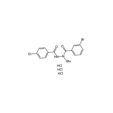 CCc1ccc(C(=O)NN(C(=O)c2cccc(Br)c2)C(C)(C)C)cc1.Cl.Cl.Cl